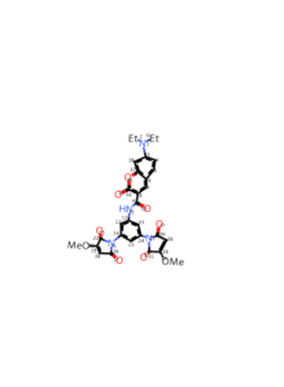 CCN(CC)c1ccc2cc(C(=O)Nc3cc(N4C(=O)C=C(OC)C4=O)cc(N4C(=O)C=C(OC)C4=O)c3)c(=O)oc2c1